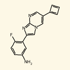 Nc1ccc(F)c(-c2cn3cc(C4=CC=C4)cnc3n2)c1